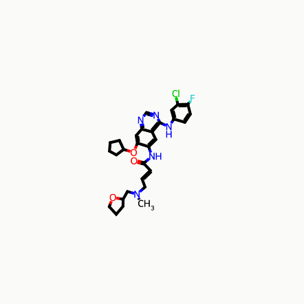 CN(CC=CC(=O)Nc1cc2c(Nc3ccc(F)c(Cl)c3)ncnc2cc1OC1CCCC1)CC1CCCO1